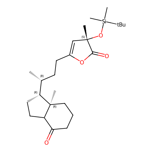 C[C@H](CCC1=C[C@](C)(O[Si](C)(C)C(C)(C)C)C(=O)O1)[C@H]1CCC2C(=O)CCC[C@@]21C